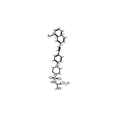 CCCC(NS(=O)(=O)N1CCN(c2ccc(C#Cc3ccc4cccc(C(C)=O)c4c3)cc2)CC1)C(=O)O